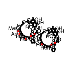 CO[C@H]1/C=C/O[C@@]2(C)Oc3c(C)c(O)c4c(O)c(c(/C=N/N5CCN(C6CCCC6)CC5)c(O)c4c3C2=O)NC(=O)/C(C)=C\C=C\[C@H](C)[C@H](O)[C@@H](C)[C@@H](O)[C@@H](C)[C@H](OC(C)=O)[C@@H]1C.CO[C@H]1/C=C/O[C@@]2(C)Oc3c(C)c(O)c4c(O)c(c(/C=N/N5CCN(C6CCCC6)CC5)c(O)c4c3C2=O)NC(=O)/C(C)=C\C=C\[C@H](C)[C@H](O)[C@@H](C)[C@@H](O)[C@@H](C)[C@H](OC(C)=O)[C@@H]1C